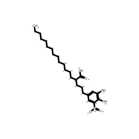 CCCCCCCCCCCCCCC(CCCc1cc(O)c(O)c([N+](=O)[O-])c1)C(=O)O